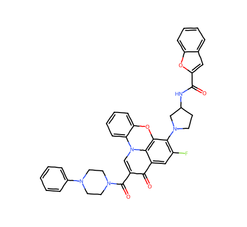 O=C(NC1CCN(c2c(F)cc3c(=O)c(C(=O)N4CCN(c5ccccc5)CC4)cn4c3c2Oc2ccccc2-4)C1)c1cc2ccccc2o1